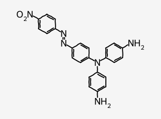 Nc1ccc(N(c2ccc(N)cc2)c2ccc(N=Nc3ccc([N+](=O)[O-])cc3)cc2)cc1